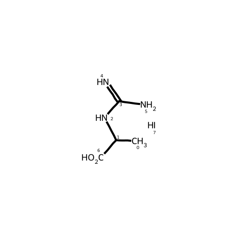 CC(NC(=N)N)C(=O)O.I